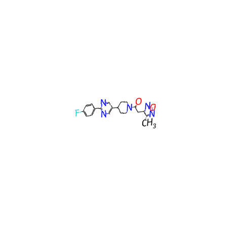 Cc1nonc1CC(=O)N1CCC(c2cnc(-c3ccc(F)cc3)nc2)CC1